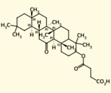 CC1(C)CC[C@]2(C)CC[C@]3(C)[C@H](CC(=O)[C@@H]4[C@@]5(C)CCC(OC(=O)CCC(=O)O)C(C)(C)C5CC[C@]43C)[C@H]2C1